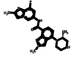 Cc1cn2cc(NC(=O)c3ccc(N4CCNC[C@H]4C)c4cn(C)nc34)cc(F)c2n1